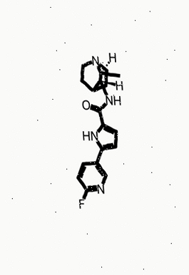 C[C@H]1[C@H](NC(=O)c2ccc(-c3ccc(F)nc3)[nH]2)C2CCN1CC2